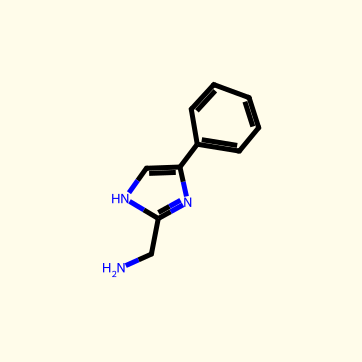 NCc1nc(-c2ccccc2)c[nH]1